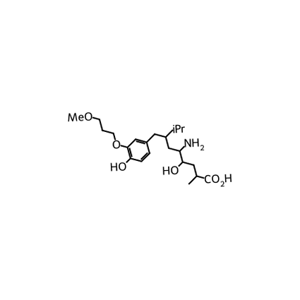 COCCCOc1cc(CC(CC(N)C(O)CC(C)C(=O)O)C(C)C)ccc1O